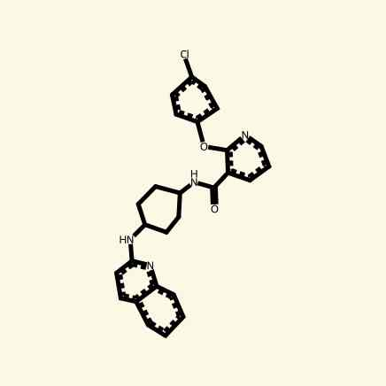 O=C(NC1CCC(Nc2ccc3ccccc3n2)CC1)c1cccnc1Oc1ccc(Cl)cc1